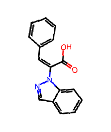 O=C(O)/C(=C\c1ccccc1)n1ncc2ccccc21